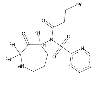 [2H]C1([2H])NCCC[C@]([2H])(N(C(=O)[CH]CC(C)C)S(=O)(=O)c2ccccn2)C1=O